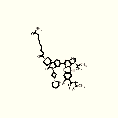 Cc1cc(F)c(Nc2nc(-c3ccc4c(c3)N([C@H]3C[C@@H](N5CCCCC5)C3)C(=O)C43CCN(C(=O)CCCCCCCC(N)=O)CC3)cc3ncn(C(C)C)c23)cc1C(=O)NC(C)C